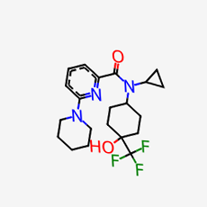 O=C(c1cccc(N2CCCCC2)n1)N(C1CC1)C1CCC(O)(C(F)(F)F)CC1